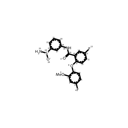 COc1cc(F)ccc1Oc1ccc(F)cc1C(=O)Nc1cccc([S+](N)[O-])c1